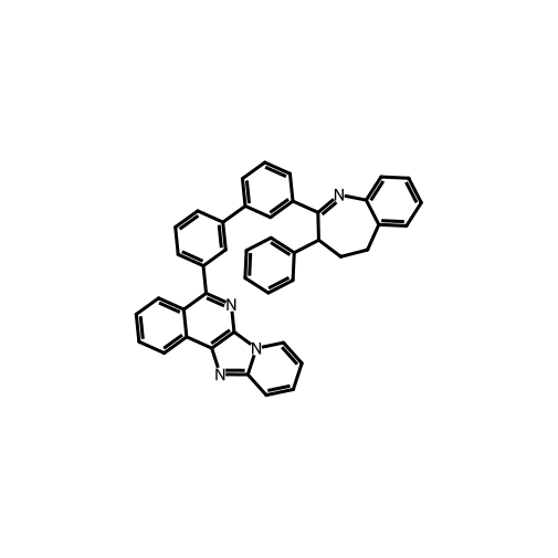 c1ccc(C2CCc3ccccc3N=C2c2cccc(-c3cccc(-c4nc5c(nc6ccccn65)c5ccccc45)c3)c2)cc1